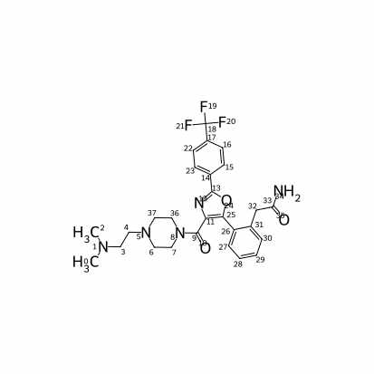 CN(C)CCN1CCN(C(=O)c2nc(-c3ccc(C(F)(F)F)cc3)oc2-c2ccccc2CC(N)=O)CC1